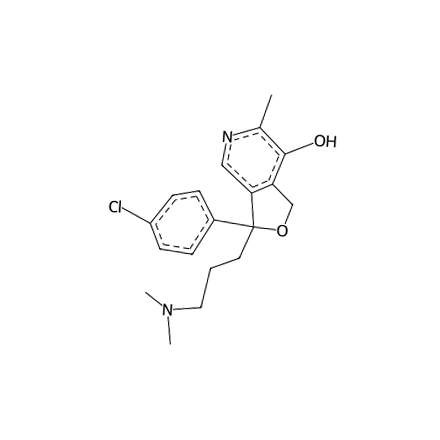 Cc1ncc2c(c1O)COC2(CCCN(C)C)c1ccc(Cl)cc1